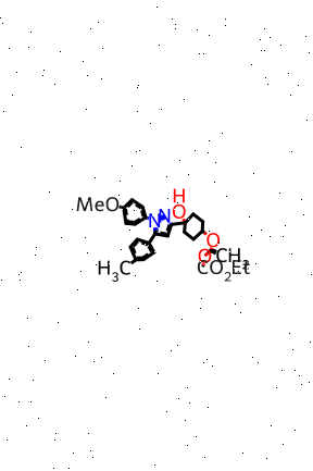 C=C(OC(=O)OCC)OC1CCC(O)(c2cc(-c3ccc(C)cc3)n(-c3ccc(OC)cc3)n2)CC1